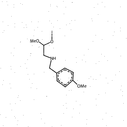 COc1ccc(CNCC(OC)OI)cc1